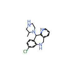 CC1CNCCN1C1c2ccc(Cl)cc2NCc2cccnc21